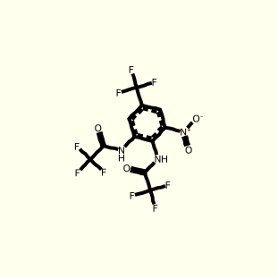 O=C(Nc1cc(C(F)(F)F)cc([N+](=O)[O-])c1NC(=O)C(F)(F)F)C(F)(F)F